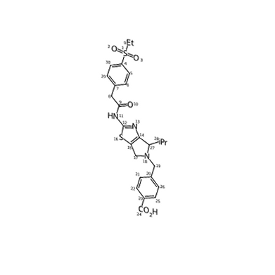 CCS(=O)(=O)c1ccc(CC(=O)Nc2nc3c(s2)CN(Cc2ccc(C(=O)O)cc2)C3C(C)C)cc1